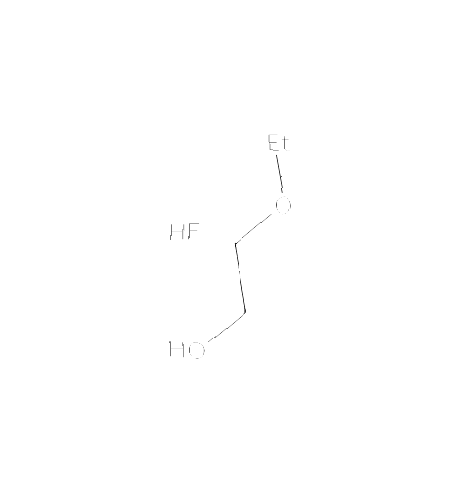 CCOCCO.F